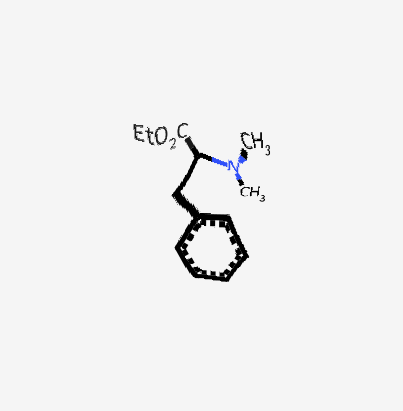 CCOC(=O)C(Cc1ccccc1)N(C)C